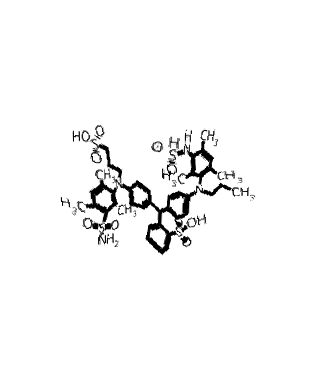 CCCN(c1ccc(C(c2ccc(N(CCCS(=O)(=O)O)c3c(C)cc(C)c(S(N)(=O)=O)c3C)cc2)c2ccccc2S(=O)(=O)O)cc1)c1c(C)cc(C)c(N[SH](=O)=O)c1C